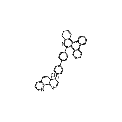 CC12C=Cc3cccnc3C1=NC=CC2c1ccc(-c2ccc(-c3nc4c(c5c6ccccc6c6ccccc6c35)C=CCC4)cc2)cc1